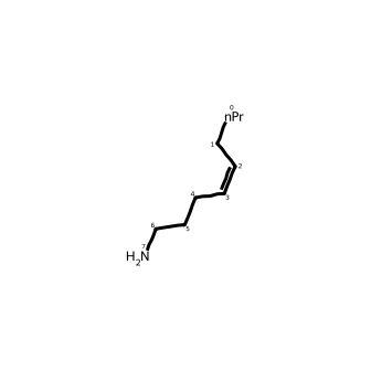 CCCC/C=C\CCCN